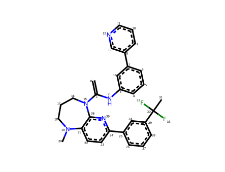 C=C(Nc1cccc(-c2cccnc2)c1)N1CCCN(C)c2ccc(-c3cccc(C(C)(F)F)c3)nc21